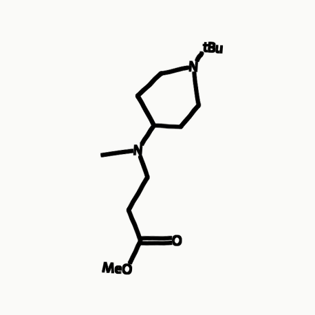 COC(=O)CCN(C)C1CCN(C(C)(C)C)CC1